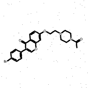 CC(=O)N1CCN(CCOc2ccc3c(=O)c(-c4ccc(Br)cc4)coc3c2)CC1